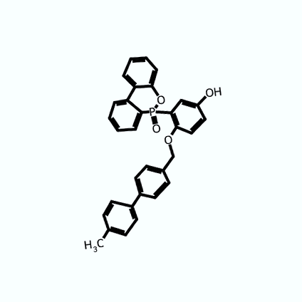 Cc1ccc(-c2ccc(COc3ccc(O)cc3P3(=O)Oc4ccccc4-c4ccccc43)cc2)cc1